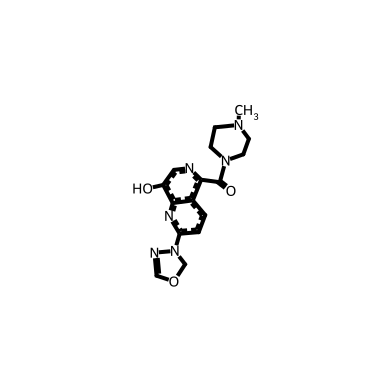 CN1CCN(C(=O)c2ncc(O)c3nc(N4COC=N4)ccc23)CC1